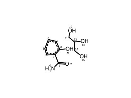 NC(=O)c1ccccc1O.OCC(O)CO